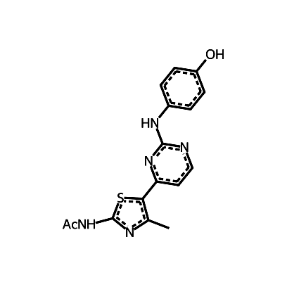 CC(=O)Nc1nc(C)c(-c2ccnc(Nc3ccc(O)cc3)n2)s1